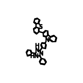 c1ccc(C2=NC(c3ccc(-n4c5ccccc5c5ccc(-c6cccc7c6sc6ccccc67)cc54)cc3)NC(c3ccccc3)N2)cc1